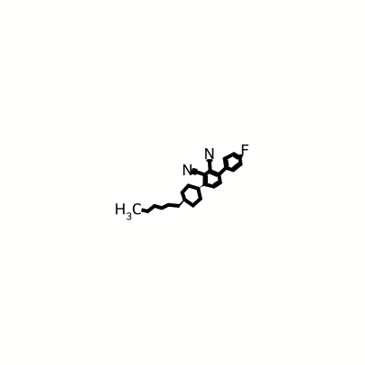 CCCCCC[C@H]1CC[C@H](c2ccc(-c3ccc(F)cc3)c(C#N)c2C#N)CC1